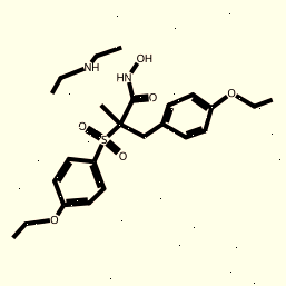 CCNCC.CCOc1ccc(CC(C)(C(=O)NO)S(=O)(=O)c2ccc(OCC)cc2)cc1